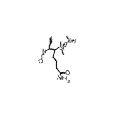 CCC(N=C=O)C(CCCC(N)=O)[Si](C)(C)O[SiH](C)C